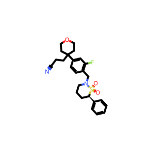 N#CCCC1(c2ccc(CN3CCC[C@H](c4ccccc4)S3(=O)=O)c(F)c2)CCOCC1